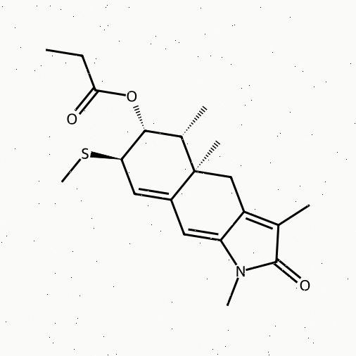 CCC(=O)O[C@H]1[C@H](SC)C=C2C=C3C(=C(C)C(=O)N3C)C[C@]2(C)[C@H]1C